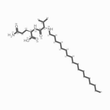 CCCCCCCCCCCCCCCCCCN[C@H](C(=O)N[C@H](CCC(N)=O)C(=O)O)C(C)C